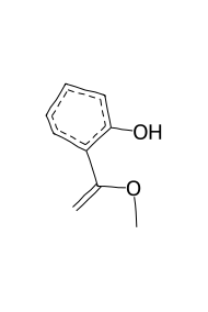 C=C(OC)c1ccccc1O